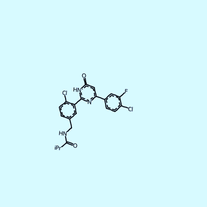 CC(C)C(=O)NCc1ccc(Cl)c(-c2nc(-c3ccc(Cl)c(F)c3)cc(=O)[nH]2)c1